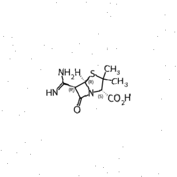 CC1(C)S[C@@H]2[C@H](C(=N)N)C(=O)N2[C@H]1C(=O)O